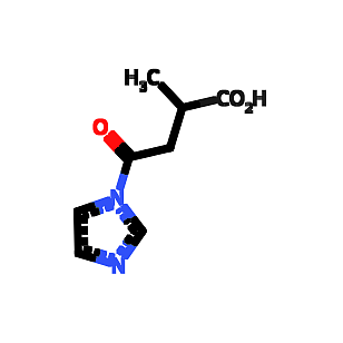 CC(CC(=O)n1ccnc1)C(=O)O